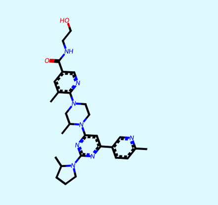 Cc1ccc(-c2cc(N3CCN(c4ncc(C(=O)NCCO)cc4C)CC3C)nc(N3CCCC3C)n2)cn1